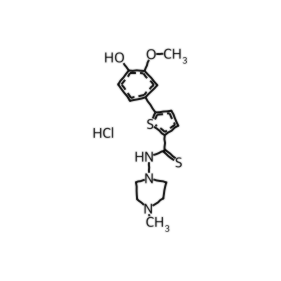 COc1cc(-c2ccc(C(=S)NN3CCN(C)CC3)s2)ccc1O.Cl